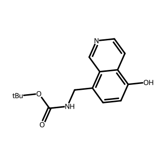 CC(C)(C)OC(=O)NCc1ccc(O)c2ccncc12